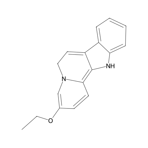 CCOC1=CN2CC=c3c([nH]c4ccccc34)=C2C=C1